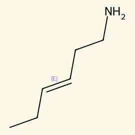 CC/C=C/CCN